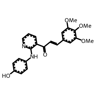 COc1cc(C=CC(=O)c2cccnc2Nc2ccc(O)cc2)cc(OC)c1OC